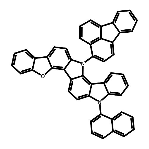 c1ccc2c(c1)-c1cccc3c(-n4c5ccc6c7ccccc7oc6c5c5ccc6c(c7ccccc7n6-c6cccc7ccccc67)c54)ccc-2c13